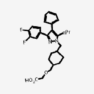 CCCc1c(-c2ccccc2)c(-c2ccc(F)c(F)c2)nn1CC1CCC(COCC(=O)O)CC1